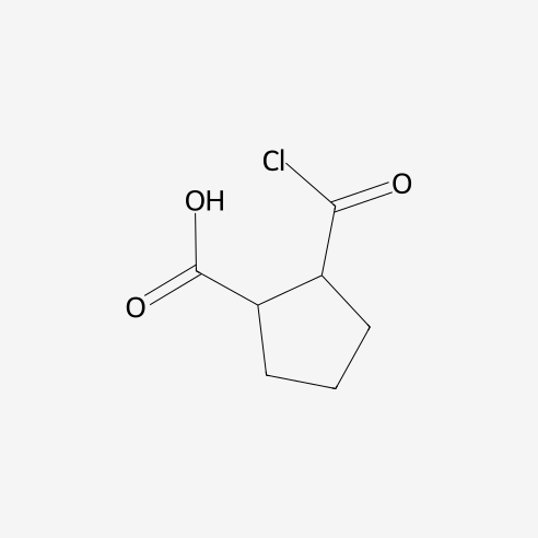 O=C(O)C1CCCC1C(=O)Cl